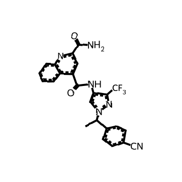 CC(c1ccc(C#N)cc1)n1cc(NC(=O)c2cc(C(N)=O)nc3ccccc23)c(C(F)(F)F)n1